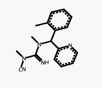 Cc1ccccc1C(c1ccccn1)N(C)C(=N)N(C)C#N